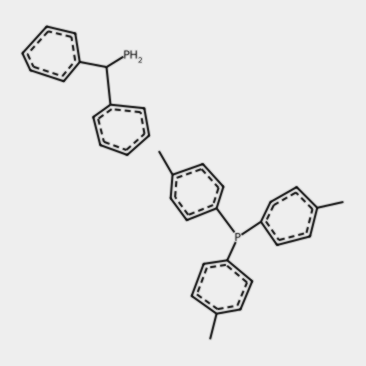 Cc1ccc(P(c2ccc(C)cc2)c2ccc(C)cc2)cc1.PC(c1ccccc1)c1ccccc1